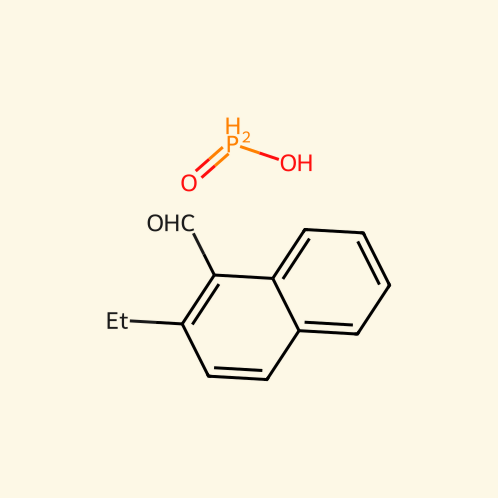 CCc1ccc2ccccc2c1C=O.O=[PH2]O